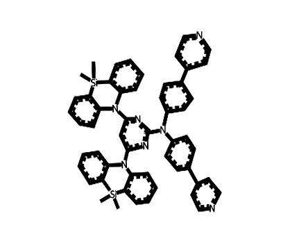 C[Si]1(C)c2ccccc2N(c2cc(N3c4ccccc4[Si](C)(C)c4ccccc43)nc(N(c3ccc(-c4ccncc4)cc3)c3ccc(-c4ccncc4)cc3)n2)c2ccccc21